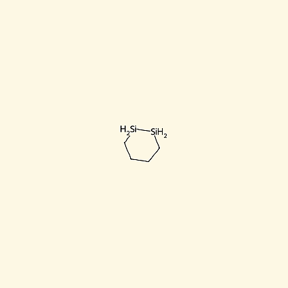 C1CC[SiH2][SiH2]C1